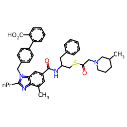 CCCc1nc2c(C)cc(C(=O)NC(CSC(=O)CN3CCCC(C)C3)Cc3ccccc3)cc2n1Cc1ccc(-c2ccccc2C(=O)O)cc1